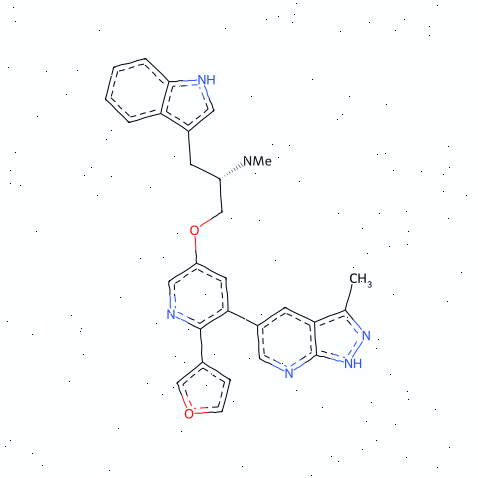 CN[C@H](COc1cnc(-c2ccoc2)c(-c2cnc3[nH]nc(C)c3c2)c1)Cc1c[nH]c2ccccc12